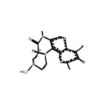 Cc1nc2c3c(cnc2c(C)c1Br)N(C)C(=O)[C@H]1CN(C(=O)O)CCN31